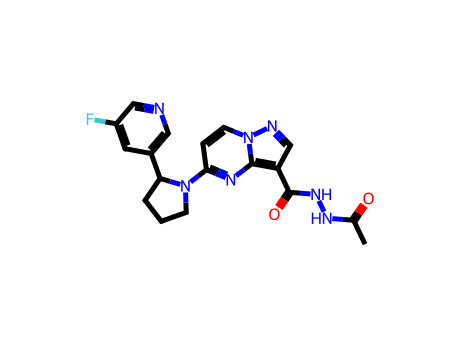 CC(=O)NNC(=O)c1cnn2ccc(N3CCCC3c3cncc(F)c3)nc12